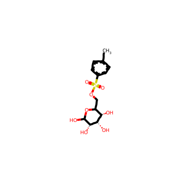 Cc1ccc(S(=O)(=O)OCC2OC(O)[C@@H](O)[C@@H](O)[C@H]2O)cc1